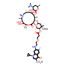 CC[C@H]1OC(=O)[C@H](C)[C@@H](O[C@H]2C[C@@](C)(OC)[C@@H](OC(=O)CCOCCNc3cc4c(cc3F)c(=O)c(C(=O)O)cn4C3CC3)[C@H](C)O2)[C@H](C)[C@@H](O[C@@H]2O[C@H](C)C[C@H](N(C)C)[C@H]2O)[C@](C)(O)C[C@@H](C)CN(C)[C@H](C)[C@@H](O)[C@]1(C)O